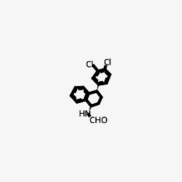 O=CN[C@H]1CC[C@@H](c2ccc(Cl)c(Cl)c2)c2ccccc21